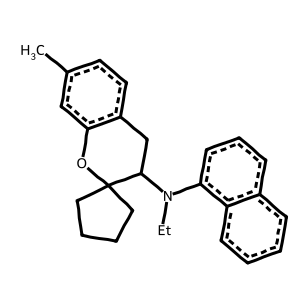 CCN(c1cccc2ccccc12)C1Cc2ccc(C)cc2OC12CCCC2